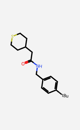 CC(C)(C)c1ccc(CNC(=O)CC2CCSCC2)cc1